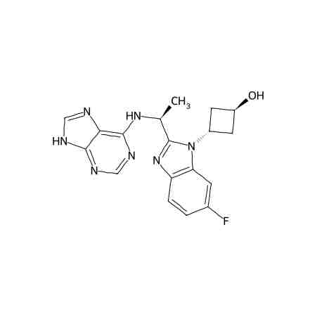 C[C@H](Nc1ncnc2[nH]cnc12)c1nc2ccc(F)cc2n1[C@H]1C[C@H](O)C1